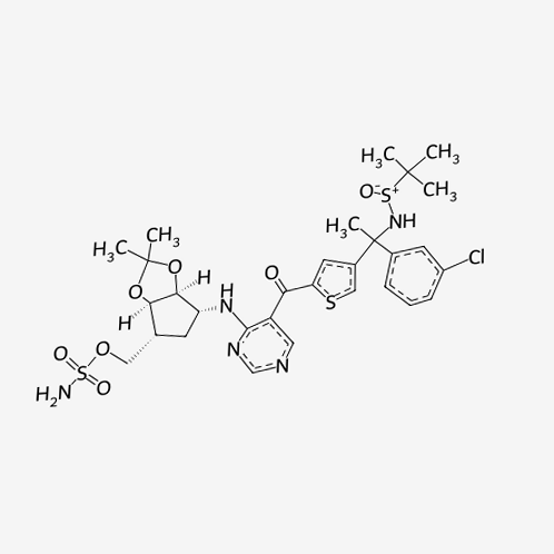 CC1(C)O[C@@H]2[C@@H](COS(N)(=O)=O)C[C@@H](Nc3ncncc3C(=O)c3cc(C(C)(N[S+]([O-])C(C)(C)C)c4cccc(Cl)c4)cs3)[C@@H]2O1